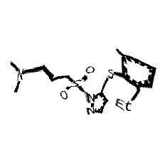 CCc1cccc(C)c1Sc1ccnn1S(=O)(=O)CC=CN(C)C